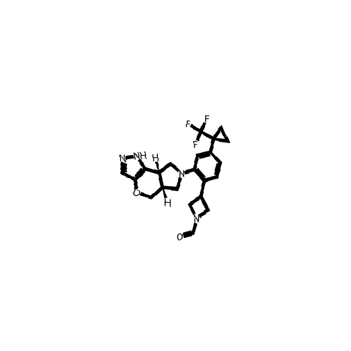 O=CN1CC(c2ccc(C3(C(F)(F)F)CC3)cc2N2C[C@@H]3COc4cn[nH]c4[C@@H]3C2)C1